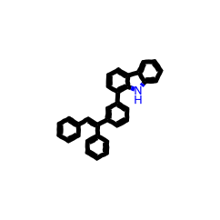 C(=C(c1ccccc1)c1cccc(-c2cccc3c2[nH]c2ccccc23)c1)c1ccccc1